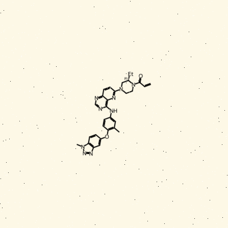 C=CC(=O)N1CCN(c2ccc3ncnc(Nc4ccc(Oc5ccc6c(c5)nnn6C)c(C)c4)c3n2)C[C@H]1CC